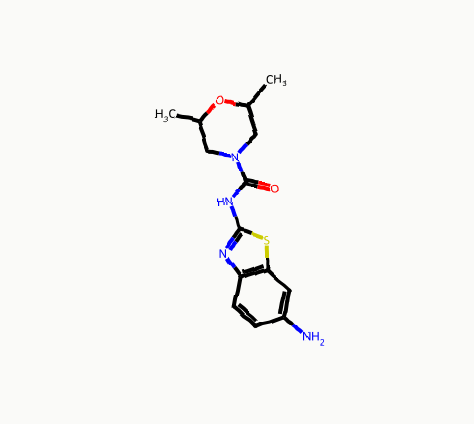 CC1CN(C(=O)Nc2nc3ccc(N)cc3s2)CC(C)O1